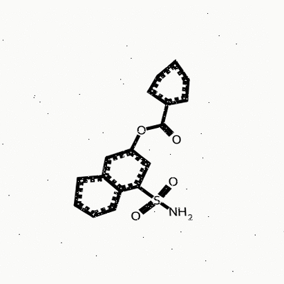 NS(=O)(=O)c1cc(OC(=O)c2ccccc2)cc2ccccc12